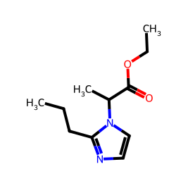 CCCc1nccn1C(C)C(=O)OCC